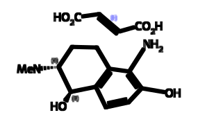 CN[C@@H]1CCc2c(ccc(O)c2N)[C@H]1O.O=C(O)/C=C/C(=O)O